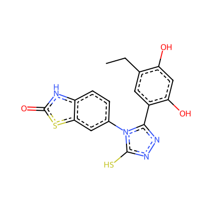 CCc1cc(-c2nnc(S)n2-c2ccc3[nH]c(=O)sc3c2)c(O)cc1O